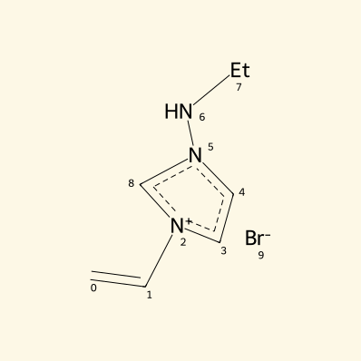 C=C[n+]1ccn(NCC)c1.[Br-]